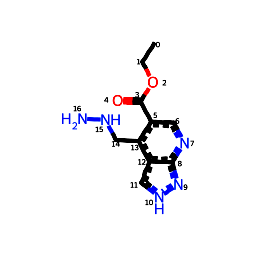 CCOC(=O)c1cnc2n[nH]cc2c1CNN